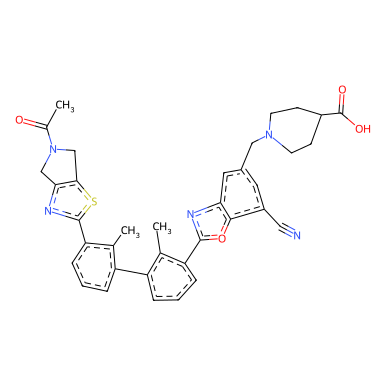 CC(=O)N1Cc2nc(-c3cccc(-c4cccc(-c5nc6cc(CN7CCC(C(=O)O)CC7)cc(C#N)c6o5)c4C)c3C)sc2C1